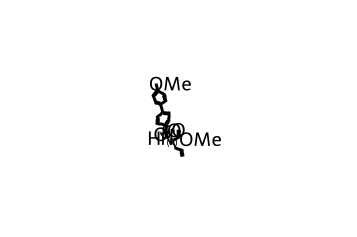 C=CC[C@@H](NS(=O)(=O)c1ccc(-c2ccc(OC)cc2)cc1)C(=O)OC